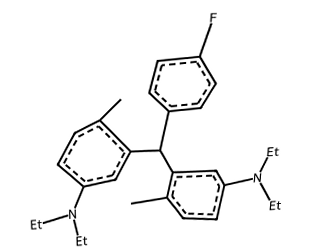 CCN(CC)c1ccc(C)c(C(c2ccc(F)cc2)c2cc(N(CC)CC)ccc2C)c1